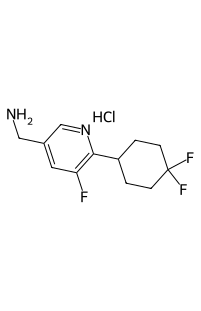 Cl.NCc1cnc(C2CCC(F)(F)CC2)c(F)c1